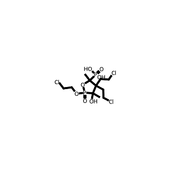 CC1(P(=O)(O)O)OP(=O)(OCCCl)C(C)(O)C1(CCCl)CCCl